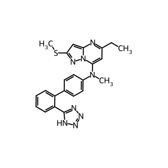 CCc1cc(N(C)c2ccc(-c3ccccc3-c3nnn[nH]3)cc2)n2nc(SC)cc2n1